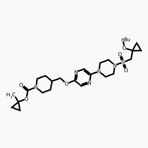 CCCCOC1(CS(=O)(=O)N2CCN(c3cnc(OCC4CCN(C(=O)OC5(C)CC5)CC4)cn3)CC2)CC1